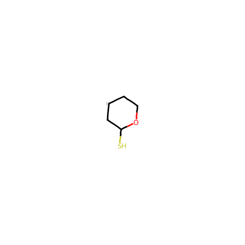 SC1C[C]CCO1